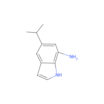 CC(C)c1cc(N)c2[nH]ccc2c1